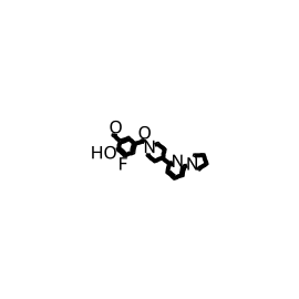 O=Cc1cc(C(=O)N2CCC(c3cccc(N4CCCC4)n3)CC2)cc(F)c1O